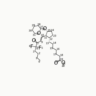 CCCCC(F)(F)C(=O)/C=C/[C@@H]1[C@@H](CCCCCCC(=O)OC)CC[C@H]1OC1CCCCO1